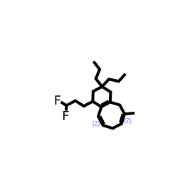 CCCC1(CCC)CC2=C(/C=C\C/C=C(/C)C2)C(CCC(F)F)C1